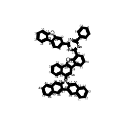 c1ccc(-c2nc(-c3ccc4c(c3)oc3ccccc34)nc(-c3cccc4c3oc3c5ccccc5c(-n5c6cc7ccccc7cc6c6cc7ccccc7cc65)cc43)n2)cc1